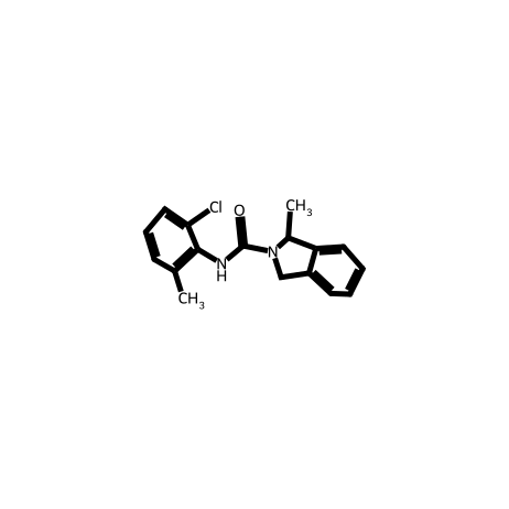 Cc1cccc(Cl)c1NC(=O)N1Cc2ccccc2C1C